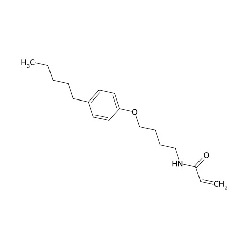 C=CC(=O)NCCCCOc1ccc(CCCCC)cc1